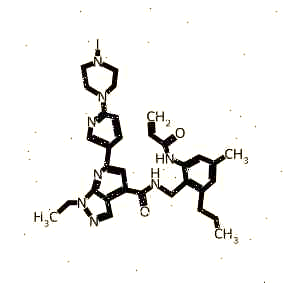 C=CC(=O)Nc1cc(C)cc(CCC)c1CNC(=O)c1cc(-c2ccc(N3CCN(I)CC3)nc2)nc2c1cnn2CC